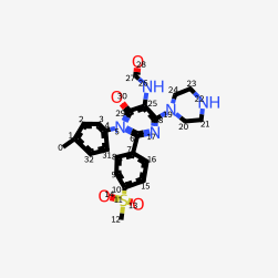 Cc1ccc(-n2c(-c3ccc(S(C)(=O)=O)cc3)nc(N3CCNCC3)c(NC=O)c2=O)cc1